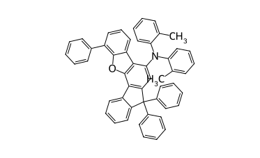 Cc1ccccc1N(c1ccccc1C)c1cc2c(c3oc4c(-c5ccccc5)cccc4c13)-c1ccccc1C2(c1ccccc1)c1ccccc1